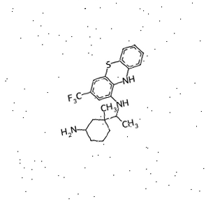 CC(Nc1cc(C(F)(F)F)cc2c1Nc1ccccc1S2)C1(C)CCCC(N)C1